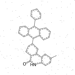 Cc1ccc2[nH]c(=O)c3ccc(-c4c5ccccc5c(-c5ccccc5)c5ccccc45)cc3c2c1